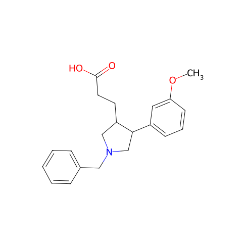 COc1cccc(C2CN(Cc3ccccc3)CC2CCC(=O)O)c1